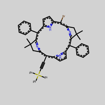 CC(C)S(C#Cc1c2nc(c(-c3ccccc3)c3ccc([nH]3)c(Br)c3nc(c(-c4ccccc4)c4ccc1[nH]4)C(C)(C)C3)C(C)(C)C2)(C(C)C)C(C)C